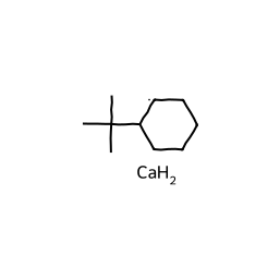 CC(C)(C)C1[CH]CCCC1.[CaH2]